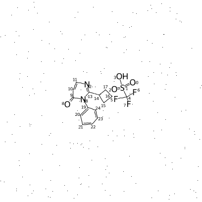 O=S(=O)(O)C(F)(F)F.O=c1ccnc(C2CCC2)n1-c1ccccc1